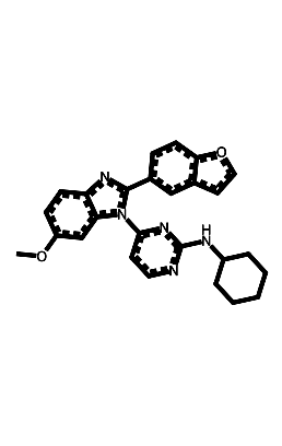 COc1ccc2nc(-c3ccc4occc4c3)n(-c3ccnc(NC4CCCCC4)n3)c2c1